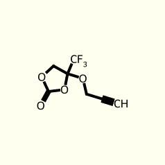 C#CCOC1(C(F)(F)F)COC(=O)O1